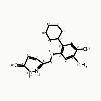 Cc1cc(OCc2ccc(=O)[nH]n2)c(C2CCCCC2)cc1Cl